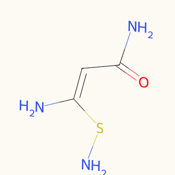 NS/C(N)=C\C(N)=O